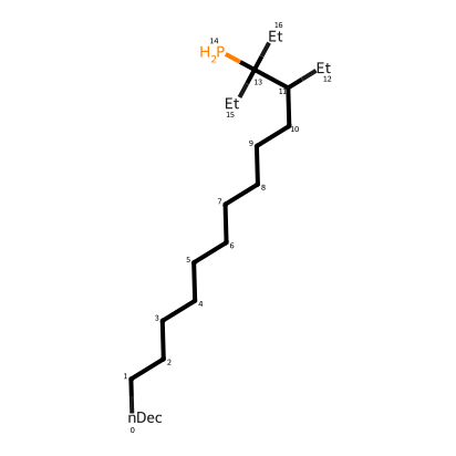 CCCCCCCCCCCCCCCCCCCCC(CC)C(P)(CC)CC